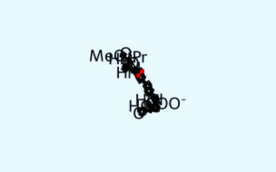 COC(=O)NC(C(=O)N1CCCC1c1nc2c([nH]1)-c1ccc(-c3ccc4cc(-c5cnc(C6CCCN6[N+](O)(C(=O)[O-])C(C)C6CCOCC6)[nH]5)ccc4c3)cc1CC2)C(C)C